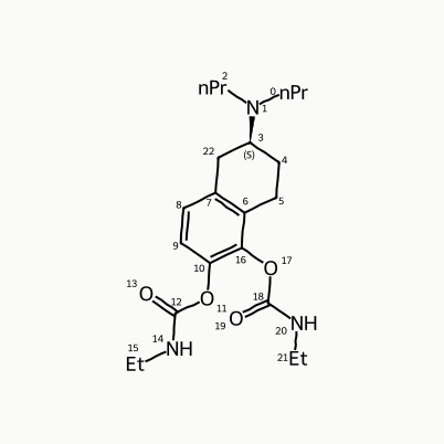 CCCN(CCC)[C@H]1CCc2c(ccc(OC(=O)NCC)c2OC(=O)NCC)C1